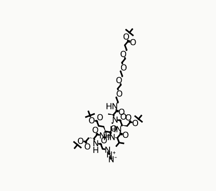 CC(C)[C@H](NC(=O)[C@H](CCC(=O)OC(C)(C)C)NC(=O)[C@@H](CC(=O)OC(C)(C)C)NC(=O)CN=[N+]=[N-])C(=O)N[C@H](CC(=O)OC(C)(C)C)C(=O)N(C)[C@@H](C)C(=O)NCCOCCOCCOCCOCCC(=O)OC(C)(C)C